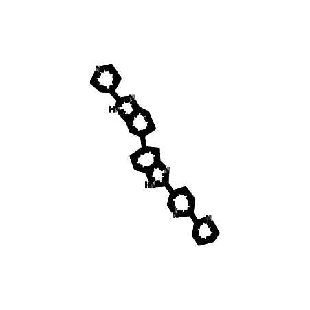 c1ccc(-c2ccc(-c3nc4cc(-c5ccc6nc(-c7ccncc7)[nH]c6c5)ccc4[nH]3)cn2)nc1